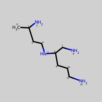 CC(N)CCNC(CN)CCCN